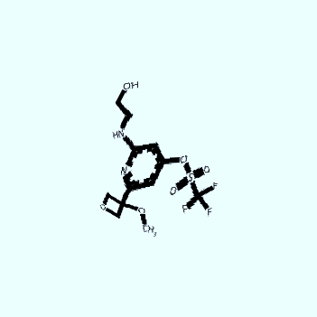 COC1(c2cc(OS(=O)(=O)C(F)(F)F)cc(NCCO)n2)COC1